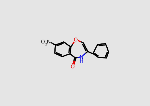 O=C1NC(c2ccccc2)=COc2cc([N+](=O)[O-])ccc21